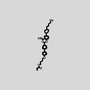 C=CC(=O)OCCCCOc1ccc(-c2ccc(C(=O)Oc3ccc(C4CCC(CCCCS)CC4)cc3C=N)cc2)cc1